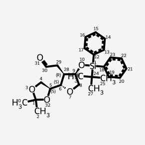 CC1(C)OC[C@@H]([C@H]2OC[C@H](O[Si](c3ccccc3)(c3ccccc3)C(C)(C)C)[C@@H]2CC=O)O1